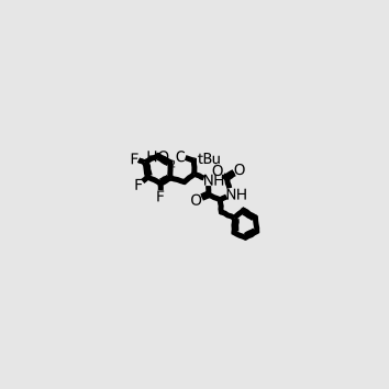 CC(C)(C)OC(=O)NC(Cc1ccccc1)C(=O)NC(CC(=O)O)Cc1ccc(F)c(F)c1F